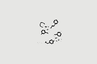 COC(=O)Cc1ccc(-n2nc(N(C)C)n3c4ccc(Br)cc4c(=O)nc23)cc1.Cc1ccc2c(c1)c(=O)nc1n(C/C=C/c3ccccc3)nc(N3CCCCCC3)n21